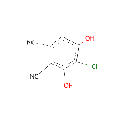 N#Cc1cc(O)c(Cl)c(O)c1C#N